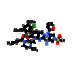 C=CC(=O)NC1CN(S(=O)(=O)CC)CC1Nc1ncc2cc(-c3c(Cl)c(OC)cc(OC)c3Cl)c(=O)n(CC3CN(C(=O)C#CC)CCN3C)c2n1